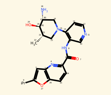 CC(C)c1cc2nc(C(=O)Nc3cnccc3N3C[C@@H](N)[C@H](O)[C@@H](C)C3)ccc2o1